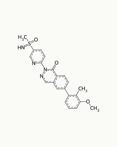 COc1cccc(-c2ccc3c(=O)n(-c4ccc(S(C)(=N)=O)cn4)ncc3c2)c1C